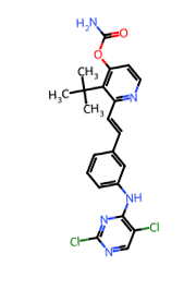 CC(C)(C)c1c(OC(N)=O)ccnc1C=Cc1cccc(Nc2nc(Cl)ncc2Cl)c1